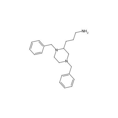 NCCCC1CN(Cc2ccccc2)CCN1Cc1ccccc1